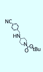 CC(C)(C)OC(=O)N1CCC(NCc2ccc(C#N)cc2)CC1